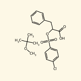 COC(C)(C)C.O=C(O)C(Cc1ccccc1)OS(=O)(=O)c1ccc(Cl)cc1